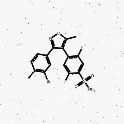 Cc1ccc(-c2noc(C)c2-c2cc(F)c(S(N)(=O)=O)cc2F)cc1Br